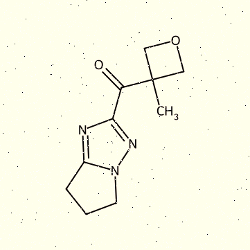 CC1(C(=O)c2nc3n(n2)CCC3)COC1